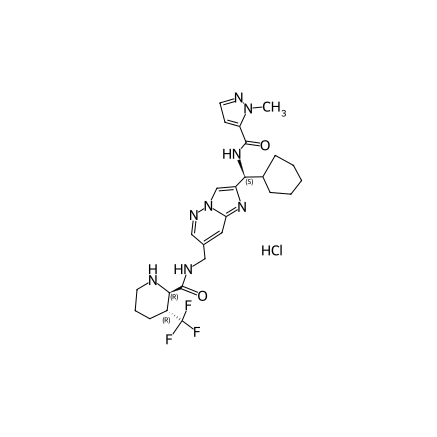 Cl.Cn1nccc1C(=O)N[C@H](c1cn2ncc(CNC(=O)[C@@H]3NCCC[C@H]3C(F)(F)F)cc2n1)C1CCCCC1